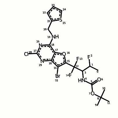 CC(F)C(NC(=O)OC(C)(C)C)C(F)(F)c1oc2c(NCc3cccs3)nc(Cl)nc2c1Br